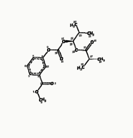 COC(=O)c1cccc(OC(=O)O[C@H](OC(=O)C(C)C)C(C)C)c1